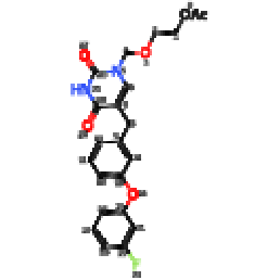 CC(=O)OCCOCn1cc(Cc2cccc(Oc3cccc(F)c3)c2)c(=O)[nH]c1=O